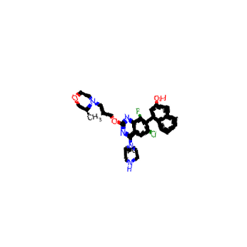 C[C@H]1COCCN1CCCOc1nc(N2CC3CCCC2CN3)c2cc(Cl)c(-c3cc(O)cc4ccccc34)c(F)c2n1